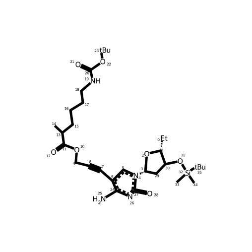 CC[C@H]1O[C@@H](n2cc(C#CCOC(=O)C(C)CCCCNC(=O)OC(C)(C)C)c(N)nc2=O)CC1O[Si](C)(C)C(C)(C)C